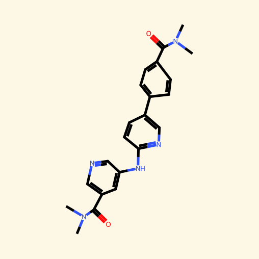 CN(C)C(=O)c1ccc(-c2ccc(Nc3cncc(C(=O)N(C)C)c3)nc2)cc1